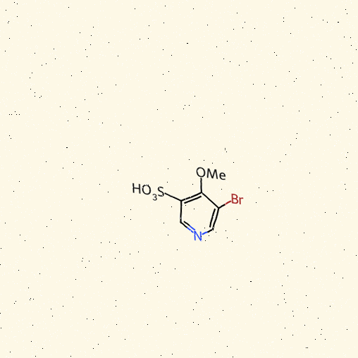 COc1c(Br)cncc1S(=O)(=O)O